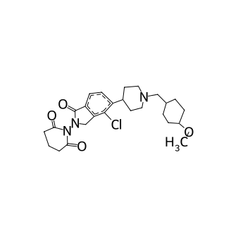 COC1CCC(CN2CCC(c3ccc4c(c3Cl)CN(N3C(=O)CCCC3=O)C4=O)CC2)CC1